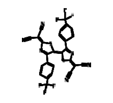 N#CC(C#N)=c1nc(-c2ccc(C(F)(F)F)cc2)/c(=c2\sc(=C(C#N)C#N)nc2-c2ccc(C(F)(F)F)cc2)s1